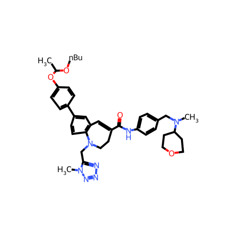 CCCCOC(C)Oc1ccc(-c2ccc3c(c2)C=C(C(=O)Nc2ccc(CN(C)C4CCOCC4)cc2)CCN3Cc2nnnn2C)cc1